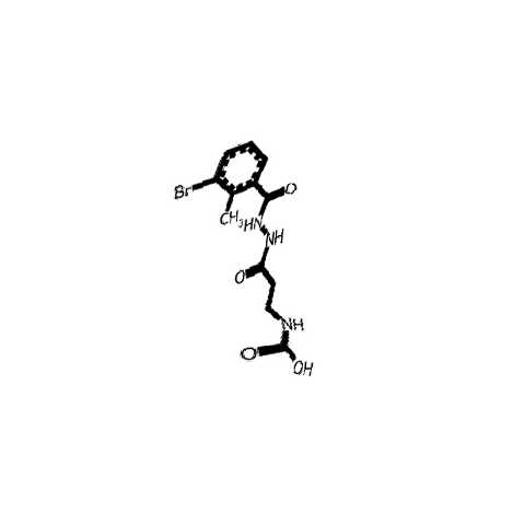 Cc1c(Br)cccc1C(=O)NNC(=O)CCNC(=O)O